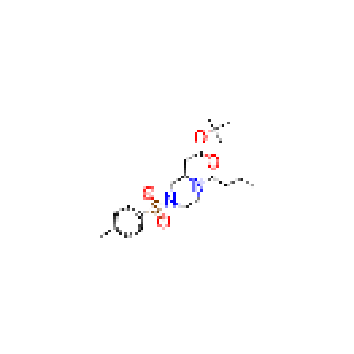 CCCCN1CCN(S(=O)(=O)c2ccc(C)cc2)CC1CC(=O)OC(C)(C)C